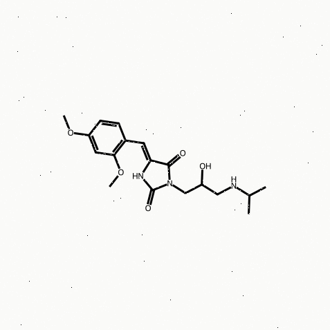 COc1ccc(/C=C2\NC(=O)N(CC(O)CNC(C)C)C2=O)c(OC)c1